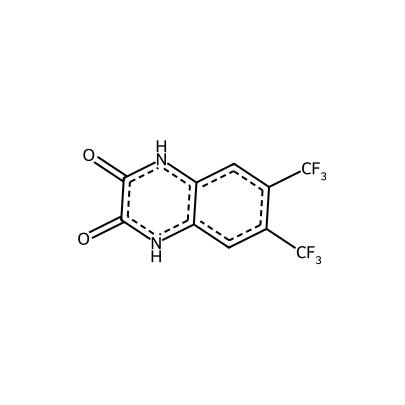 O=c1[nH]c2cc(C(F)(F)F)c(C(F)(F)F)cc2[nH]c1=O